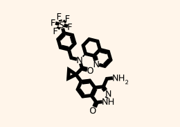 NCc1n[nH]c(=O)c2ccc(C3(C(=O)N(Cc4ccc(S(F)(F)(F)(F)F)cc4)[C@@H]4CCCc5cccnc54)CC3)cc12